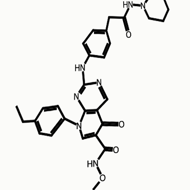 CCc1ccc(-n2cc(C(=O)NOC)c(=O)c3cnc(Nc4ccc(CC(=O)NN5CCCCC5)cc4)nc32)cc1